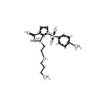 CCCCOCC[C@H]1NC(=O)c2ccn(S(=O)(=O)c3ccc(C)cc3)c21